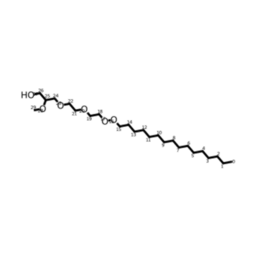 CCCCCCCCCCCCCCCCOOCCOCCOCC(CO)OC